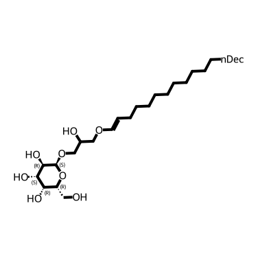 CCCCCCCCCCCCCCCCCCCCC=COCC(O)CO[C@H]1O[C@H](CO)[C@H](O)[C@H](O)[C@H]1O